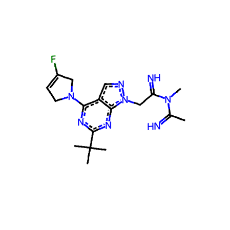 CC(=N)N(C)C(=N)Cn1ncc2c(N3CC=C(F)C3)nc(C(C)(C)C)nc21